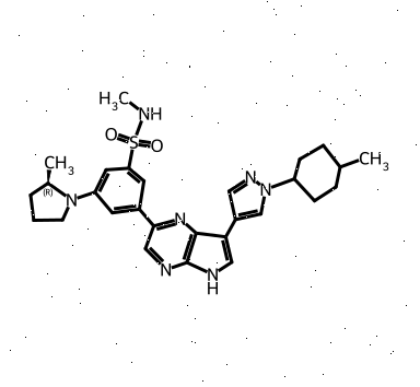 CNS(=O)(=O)c1cc(-c2cnc3[nH]cc(-c4cnn(C5CCC(C)CC5)c4)c3n2)cc(N2CCC[C@H]2C)c1